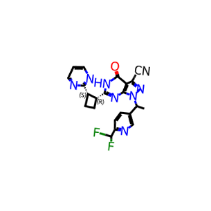 CC(c1ccc(C(F)F)nc1)n1nc(C#N)c2c(=O)[nH]c([C@@H]3CC[C@@H]3c3ncccn3)nc21